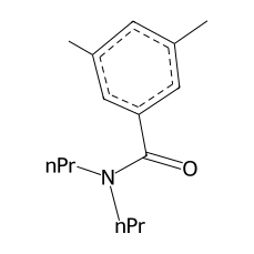 CCCN(CCC)C(=O)c1cc(C)cc(C)c1